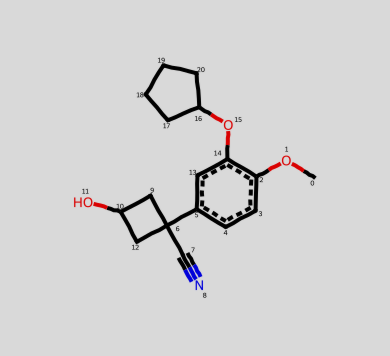 COc1ccc(C2(C#N)CC(O)C2)cc1OC1CCCC1